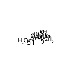 C=C(C)C(=O)O.C=C(C)C(=O)O.C=CC(=O)OCC(C)O